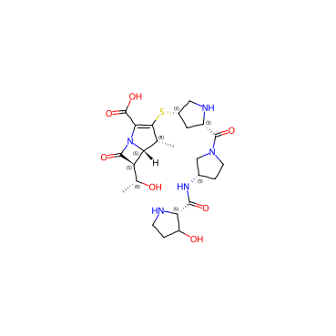 C[C@@H](O)[C@H]1C(=O)N2C(C(=O)O)=C(S[C@@H]3CN[C@H](C(=O)N4CC[C@H](NC(=O)[C@H]5NCCC5O)C4)C3)[C@H](C)[C@H]12